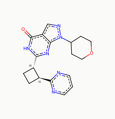 O=c1[nH]c([C@H]2CC[C@@H]2c2ncccn2)nc2c1cnn2C1CCOCC1